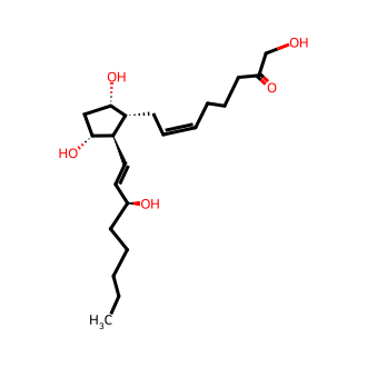 CCCCC[C@H](O)/C=C/[C@@H]1[C@@H](C/C=C\CCCC(=O)CO)[C@@H](O)C[C@H]1O